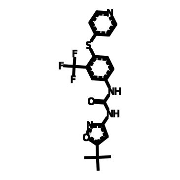 CC(C)(C)c1cc(NC(=O)Nc2ccc(Sc3ccncc3)c(C(F)(F)F)c2)no1